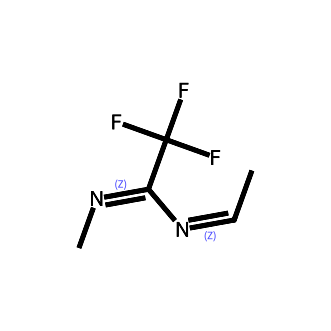 C/C=N\C(=N/C)C(F)(F)F